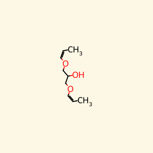 C/C=C\OCC(O)CO/C=C\C